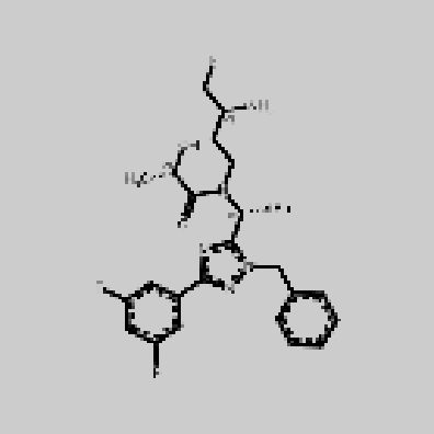 C[C@H](O)C(=O)N(CC[C@H](N)CF)[C@@H](c1nc(-c2cc(F)cc(F)c2)nn1Cc1ccccc1)C(C)(C)C